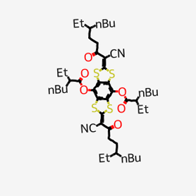 CCCCC(CC)CCC(=O)C(C#N)=C1Sc2c(OC(=O)C(CC)CCCC)c3c(c(OC(=O)C(CC)CCCC)c2S1)SC(=C(C#N)C(=O)CCC(CC)CCCC)S3